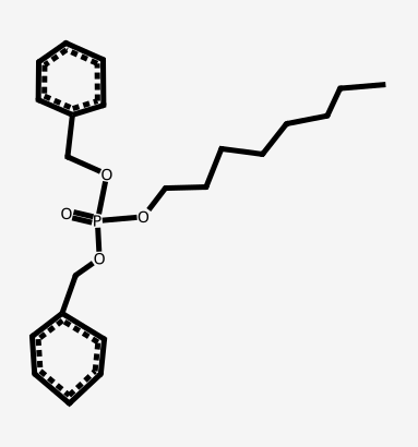 CCCCCCCCOP(=O)(OCc1ccccc1)OCc1ccccc1